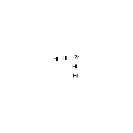 I.I.I.I.[Zr]